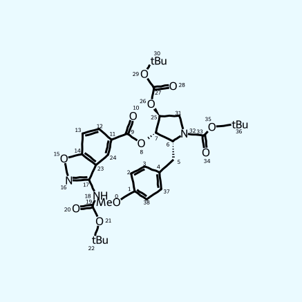 COc1ccc(C[C@@H]2[C@H](OC(=O)c3ccc4onc(NC(=O)OC(C)(C)C)c4c3)[C@@H](OC(=O)OC(C)(C)C)CN2C(=O)OC(C)(C)C)cc1